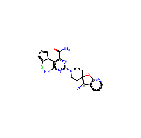 NC(=O)c1nc(N2CCC3(CC2)Oc2ncccc2[C@H]3N)nc(N)c1C1C=CC=C1Cl